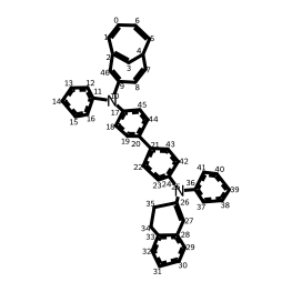 C1=CC2=CC(C=C1)C=CC(N(c1ccccc1)c1ccc(-c3ccc(N(C4=Cc5ccccc5CC4)c4ccccc4)cc3)cc1)=C2